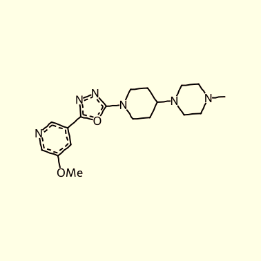 COc1cncc(-c2nnc(N3CCC(N4CCN(C)CC4)CC3)o2)c1